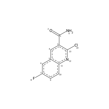 NC(=O)c1cc2cc(F)ccc2nc1Cl